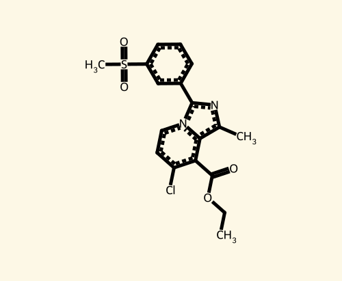 CCOC(=O)c1c(Cl)ccn2c(-c3cccc(S(C)(=O)=O)c3)nc(C)c12